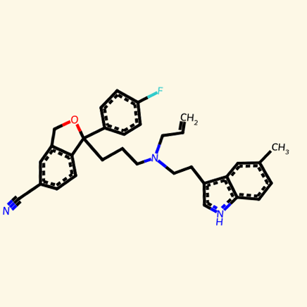 C=CCN(CCCC1(c2ccc(F)cc2)OCc2cc(C#N)ccc21)CCc1c[nH]c2ccc(C)cc12